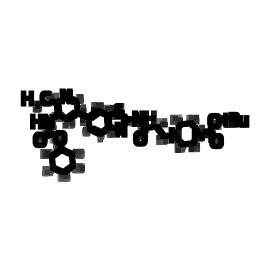 Cc1ncc(-c2ccc3nc(NC(=O)CCN4CCN(C(=O)OC(C)(C)C)CC4)sc3c2)cc1NC(=O)OC1CCCCC1